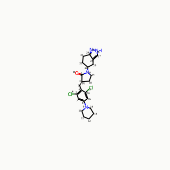 O=C1[C@H](Cc2c(Cl)cc(N3CCCCC3)cc2Cl)CCN1C1CCc2n[nH]cc2C1